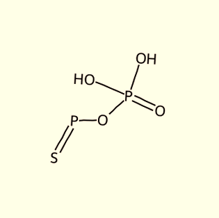 O=P(O)(O)OP=S